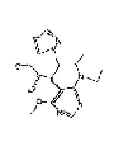 CCN(CC)c1ncnc(OC)c1N(Cn1cccn1)C(=O)CCl